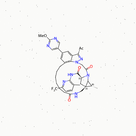 COc1ncc(-c2cc3c4c(c2)c(C(C)=O)nn4CC(=O)N2C4[C@H](C)[C@]4(CNC(=O)CCCCCC3)C[C@H]2C(=O)Nc2nc(C(F)(F)F)ccc2C)cn1